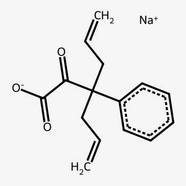 C=CCC(CC=C)(C(=O)C(=O)[O-])c1ccccc1.[Na+]